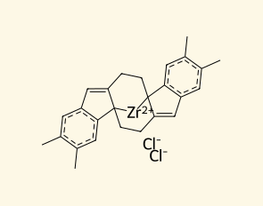 Cc1cc2c(cc1C)[C]13CCC4=Cc5cc(C)c(C)cc5[C]4(CCC1=C2)[Zr+2]3.[Cl-].[Cl-]